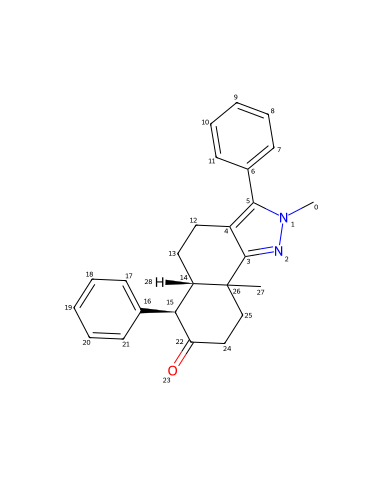 Cn1nc2c(c1-c1ccccc1)CC[C@H]1[C@H](c3ccccc3)C(=O)CCC21C